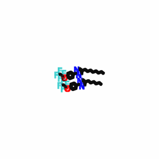 CCCCCCCCc1cnc(-c2ccc(OC(F)(F)C(F)F)cc2)nc1.CCCCCCc1cnc(-c2ccc(OC(F)(F)C(F)F)cc2)nc1